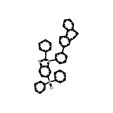 O=P(c1ccccc1)(c1ccccc1)c1ccc2nc(-c3ccccc3)n(-c3cccc(-c4ccc5c(ccc6ccccc65)c4)c3)c2c1